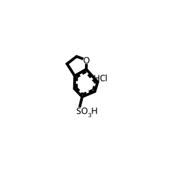 Cl.O=S(=O)(O)c1ccc2c(c1)CCO2